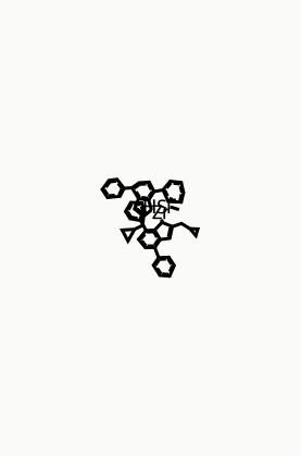 C[SiH](C)[Zr]([CH]1C(CC2CC2)=Cc2c(-c3ccccc3)ccc(-c3ccccc3)c21)[CH]1C(CC2CC2)=Cc2c(-c3ccccc3)ccc(-c3ccccc3)c21